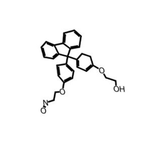 O=NCCOc1ccc(C2(C3=CC=C(OCCO)CC3)c3ccccc3-c3ccccc32)cc1